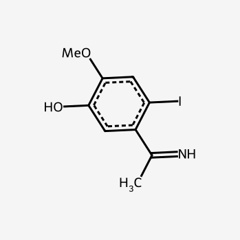 COc1cc(I)c(C(C)=N)cc1O